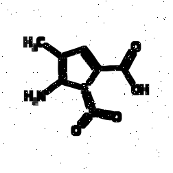 CC1=C(N)S(=S(=O)=O)C(C(=O)O)=C1